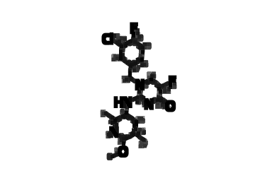 COc1nc(C)c(Nc2nc(=O)c(F)cn2Cc2ccc(F)c(Cl)c2)cc1C